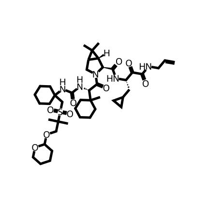 C=CCNC(=O)C(=O)[C@H](CC1CC1)NC(=O)[C@@H]1[C@@H]2C(CN1C(=O)[C@@H](NC(=O)NC1(CS(=O)(=O)C(C)(C)COC3CCCCO3)CCCCC1)C1(C)CCCCC1)C2(C)C